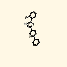 Fc1ccccc1-c1nc(-c2cnc(-c3ccccc3)nc2)c[nH]1